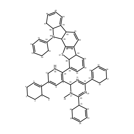 CC1CCCC=C1C1=CC(C2N=C(C3=CC=CCC3)N=C(C3C=CC=CC3)N2C)=C(C2=CC=CC3C4=C(SC23)C2C(C=C4)C3=CC=CCC3N2C2=CC=CCC2)NC1